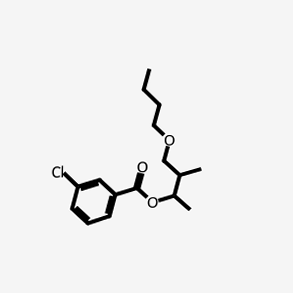 CCCCOCC(C)C(C)OC(=O)c1cccc(Cl)c1